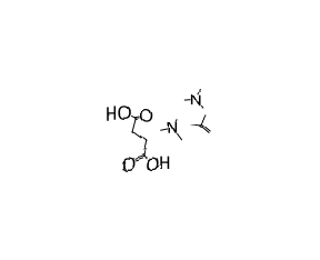 C=C(C)C.CN(C)C.CN(C)C.O=C(O)CCC(=O)O